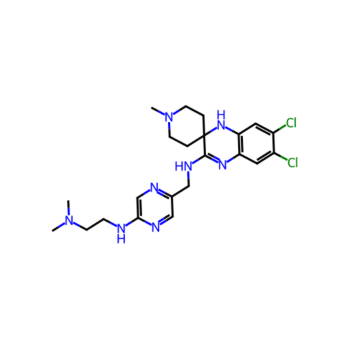 CN(C)CCNc1cnc(CNC2=Nc3cc(Cl)c(Cl)cc3NC23CCN(C)CC3)cn1